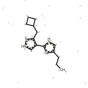 CCCc1c[nH]c(-c2c[nH]nc2CC2CCC2)n1